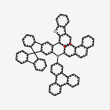 c1ccc2c(c1)-c1ccccc1C21c2ccccc2-c2cc(-c3cccc4c3oc3ccccc34)c(N(c3ccc4c(ccc5ccccc54)c3)c3ccc4c5ccccc5c5ccccc5c4c3)cc21